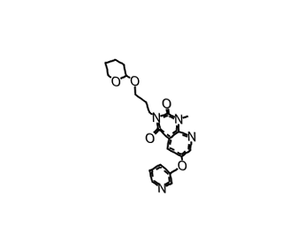 Cn1c(=O)n(CCCOC2CCCCO2)c(=O)c2cc(Oc3cccnc3)cnc21